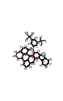 CC(C)(C)c1cc(N(c2ccc3c(c2)oc2ccccc23)c2ccccc2-c2cccc3cccc(C4CCCCC4)c23)cc(C(C)(C)C)c1